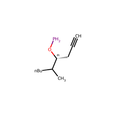 C#CC[C@@H](OP)C(C)CCCC